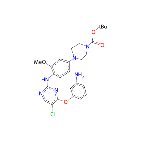 COc1cc(N2CCN(C(=O)OC(C)(C)C)CC2)ccc1Nc1ncc(Cl)c(Oc2cccc(N)c2)n1